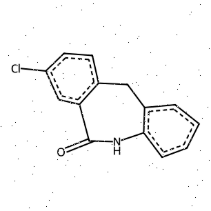 O=C1Nc2ccccc2Cc2ccc(Cl)cc21